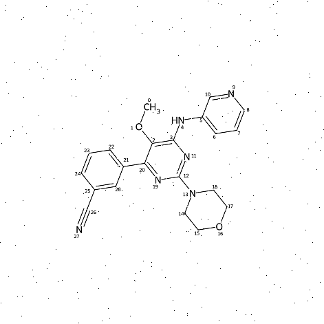 COc1c(Nc2cccnc2)nc(N2CCOCC2)nc1-c1cccc(C#N)c1